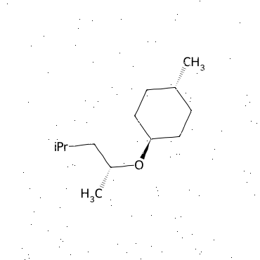 CC(C)C[C@@H](C)O[C@H]1CC[C@H](C)CC1